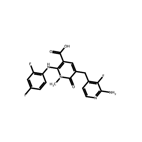 Cn1c(Nc2ccc(I)cc2F)c(C(=O)O)cc(Cc2ccnc(N)c2F)c1=O